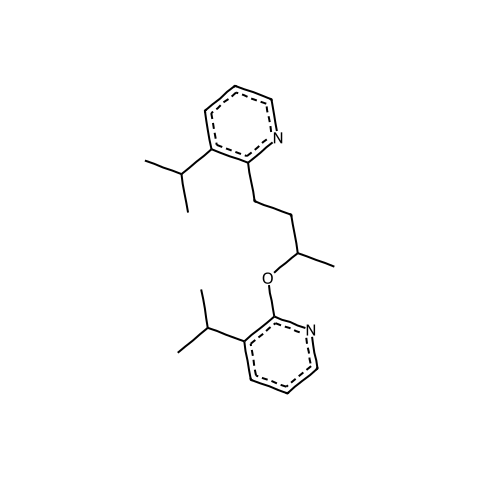 CC(CCc1ncccc1C(C)C)Oc1ncccc1C(C)C